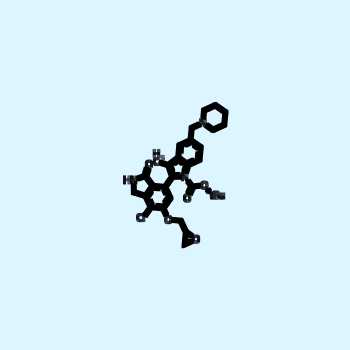 Cc1c(-c2cc(OCC3CO3)c(Cl)c3c2C(=O)NC3)n(C(=O)OC(C)(C)C)c2ccc(CN3CCCCC3)cc12